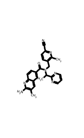 Cc1cc2cc(C(=O)N(Cc3ccc(C#N)nc3C)C(C)c3ncccn3)ccc2nc1N